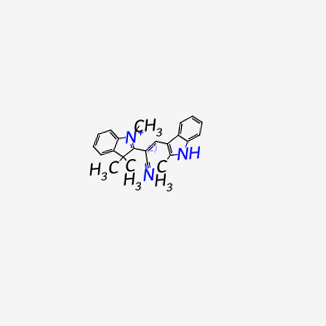 Cc1[nH]c2ccccc2c1/C=C(\C#N)C1=[N+](C)c2ccccc2C1(C)C